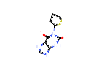 O=c1[nH]c2nc[nH]c2c(=O)n1-c1cccs1